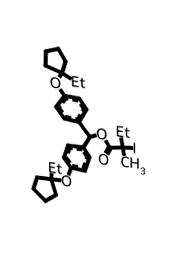 CCC1(Oc2ccc(C(OC(=O)C(C)(I)CC)c3ccc(OC4(CC)CCCC4)cc3)cc2)CCCC1